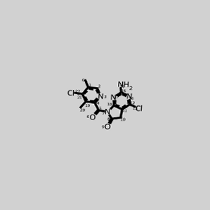 Cc1cnc(C(=O)N2C(=O)Cc3c(Cl)nc(N)nc32)c(C)c1Cl